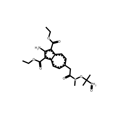 CCOC(=O)c1c2ccc(CC(=O)N(C)OC(C)(C)[PH2]=O)ccc-2c(C(=O)OCC)c1N